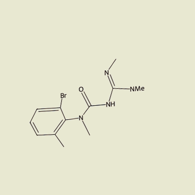 CN=C(NC)NC(=O)N(C)c1c(C)cccc1Br